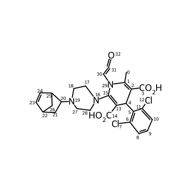 CC1=C(C(=O)O)C(c2c(Cl)cccc2Cl)C(C(=O)O)=C(N2CCN(C3CC4C=CC3C4)CC2)N1C=C=O